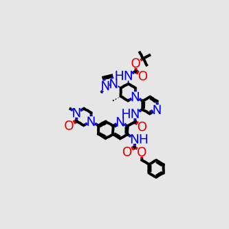 C[C@H]1CN(c2ccncc2NC(=O)c2nc3cc(N4CCN(C)C(=O)C4)ccc3cc2NC(=O)OCc2ccccc2)C[C@@H](NC(=O)OC(C)(C)C)[C@H]1n1ccn1C